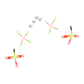 CS(=O)(=O)[O-].CS(=O)(=O)[O-].F[B-](F)(F)F.F[B-](F)(F)F.[Li+].[Li+].[Li+].[Li+]